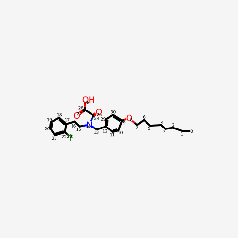 CCCCCCCCOc1ccc(CN(CCc2ccccc2F)C(=O)C(=O)O)cc1